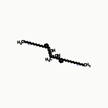 CCCC/C=C/CCCCCCCCCc1cccc(OCC(O)COCC(C)OCC(O)COc2cccc(CCCCCCCCC/C=C/CCCC)c2)c1